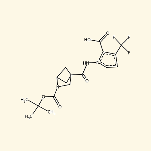 CC(C)(C)OC(=O)N1CC2(C(=O)Nn3ccc(C(F)(F)F)c3C(=O)O)CC1C2